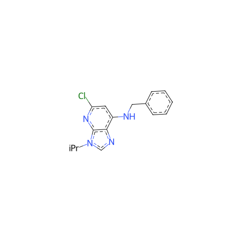 CC(C)n1cnc2c(NCc3ccccc3)cc(Cl)nc21